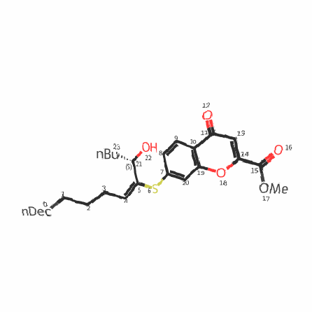 CCCCCCCCCCCCCC=C(Sc1ccc2c(=O)cc(C(=O)OC)oc2c1)[C@@H](O)CCCC